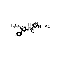 CC(=O)Nc1cc(C(=O)NCc2cnc(OCC(F)(F)F)c(-c3ccc(F)cc3)c2)ccn1